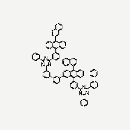 c1ccc(-c2cccc(-c3nc(-c4ccccc4)nc(-c4cccc(-c5c6ccccc6c(-c6cccc7ccccc67)c6ccc(-c7cccc(-c8cccc(-c9nc(-c%10ccccc%10)nc(-c%10cccc(-c%11c%12ccccc%12c(-c%12ccc%13ccccc%13c%12)c%12ccccc%11%12)c%10)n9)c8)c7)cc56)c4)n3)c2)cc1